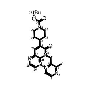 Cc1nccnc1Cn1c(=O)c(C2CCN(C(=O)OC(C)(C)C)CC2)cc2nccnc21